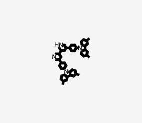 Cc1ccc2c(c1)c1cc(C)ccc1n2-c1ccc(C2=CNCC(c3cncc(-c4ccc(-n5c6ccc(C)cc6c6cc(C)ccc65)cc4)c3)=C2)cc1